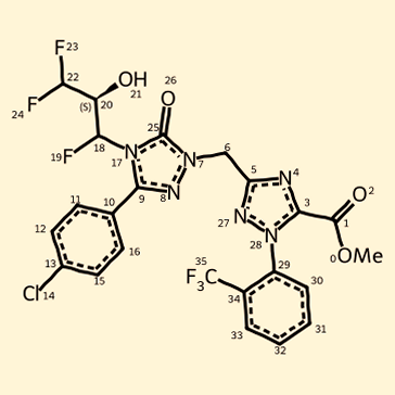 COC(=O)c1nc(Cn2nc(-c3ccc(Cl)cc3)n(C(F)[C@H](O)C(F)F)c2=O)nn1-c1ccccc1C(F)(F)F